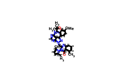 COc1ccc(-c2nn(Cc3nc4cccc(C)c4c(=O)n3-n3c(C)ccc3C)c3ncnc(N)c23)c2c1OC(C)(C)C2